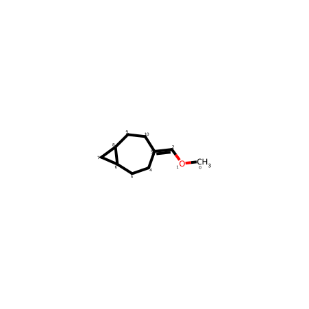 COC=C1CCC2CC2CC1